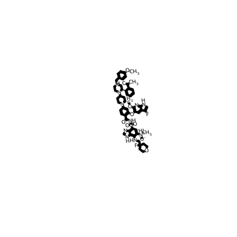 COc1ccc(CN2CCN(C3CCN(c4ccc(C(=O)NS(=O)(=O)c5cc([NH+](C)[O-])c(NCC6(F)CCOCC6)c6[nH]cnc56)c(Oc5cc6c(F)c[nH]c6nc5OC)c4)CC3)[C@H](c3ccccc3C(C)C)C2)cc1